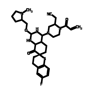 C=CC(=O)N1CCN(C2NC(OCC3CCCN3C)NC3C(=O)[C@]4(CCc5cc(F)ccc5S4)CCC32)CC1CC#N